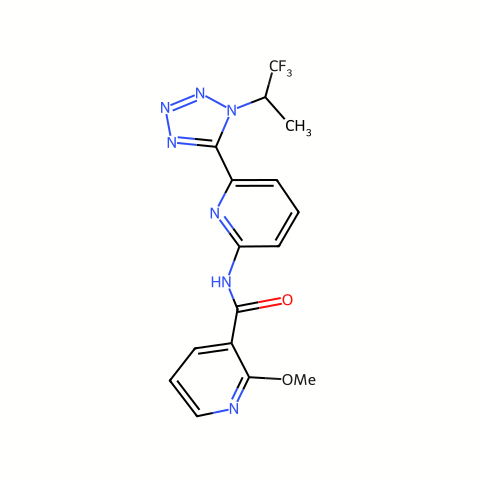 COc1ncccc1C(=O)Nc1cccc(-c2nnnn2C(C)C(F)(F)F)n1